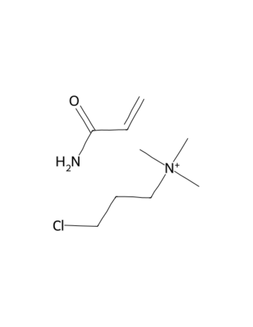 C=CC(N)=O.C[N+](C)(C)CCCCl